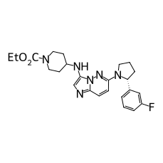 CCOC(=O)N1CCC(Nc2cnc3ccc(N4CCC[C@@H]4c4cccc(F)c4)nn23)CC1